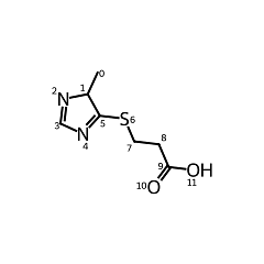 CC1N=CN=C1SCCC(=O)O